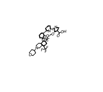 CCOc1c(C(=O)O)cnn1-c1cccc(-c2cccc(C)c2OCc2cc3c(c(C(F)(F)F)c2)CN(C2CCOCC2)CC3)n1